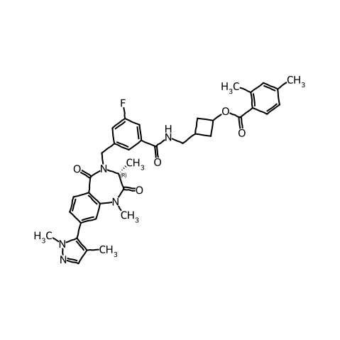 Cc1ccc(C(=O)OC2CC(CNC(=O)c3cc(F)cc(CN4C(=O)c5ccc(-c6c(C)cnn6C)cc5N(C)C(=O)[C@H]4C)c3)C2)c(C)c1